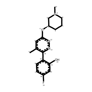 Cc1cc(O[C@@H]2CCCN(C)C2)nnc1-c1ccc(F)cc1O